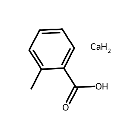 Cc1ccccc1C(=O)O.[CaH2]